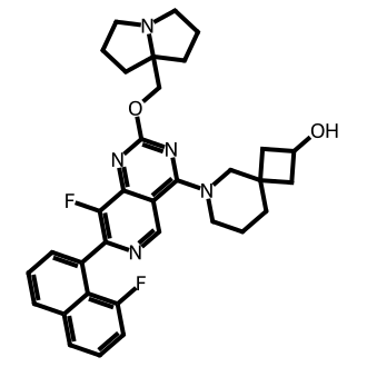 OC1CC2(CCCN(c3nc(OCC45CCCN4CCC5)nc4c(F)c(-c5cccc6cccc(F)c56)ncc34)C2)C1